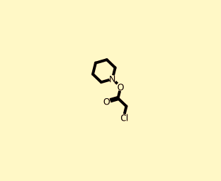 O=C(CCl)ON1CCCCC1